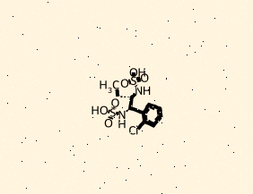 CC[C@H](NS(=O)(=O)O)[C@@H](NS(=O)(=O)O)c1ccccc1Cl